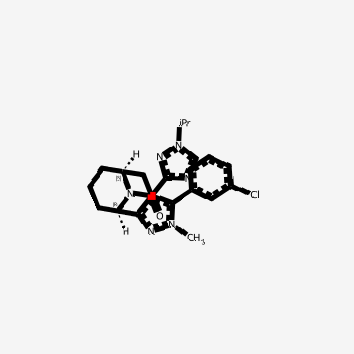 CC(C)n1cnc(C(=O)N2[C@H]3CCC[C@@H]2c2nn(C)c(-c4cccc(Cl)c4)c2C3)n1